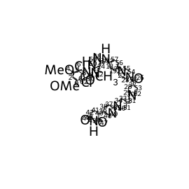 COc1cc(OC)c(Cl)c(NC(=O)N(C)c2cc(Nc3ccc(N4CCN(C(=O)C5CCN(CC6CCN(c7ccc(C8CCC(=O)NC8=O)cn7)CC6)CC5)CC4)cc3)ncn2)c1Cl